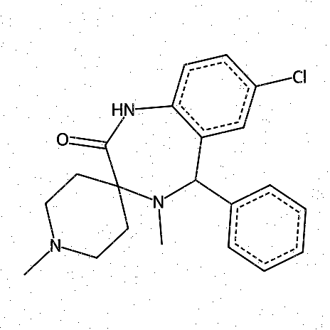 CN1CCC2(CC1)C(=O)Nc1ccc(Cl)cc1C(c1ccccc1)N2C